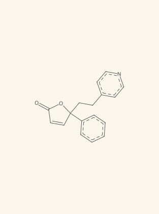 O=C1C=CC(CCc2ccncc2)(c2ccccc2)O1